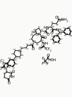 Cn1c(=O)n(C2CCC(=O)NC2=O)c2ccc(C3CCN(CCCC(=O)N4CC[C@H]5CC[C@@H](C(=O)N[C@@H](CCC(N)=O)C(=O)NC(c6ccccc6)c6ccccc6)N5C(=O)[C@@H](NC(=O)C(F)(F)F)C4)CC3)cc21.O=C(O)C(F)(F)F